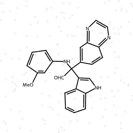 COc1cccc(NC(C=O)(c2ccc3nccnc3c2)c2c[nH]c3ccccc23)c1